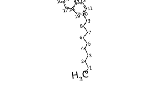 CCCCCCCCCCc1ccc2cnccc2c1